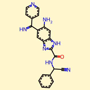 N#CC(NC(=O)c1nc2cc(C(=N)c3ccncc3)c(N)cc2[nH]1)c1ccccc1